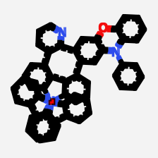 c1ccc(-n2c3ccccc3oc3cc4c(cc32)c2cccc(-n3c5ccccc5c5ccccc53)c2c2c(-n3c5ccccc5c5ccccc53)cccc2c2cccnc42)cc1